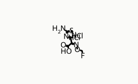 Cl.Cl.Nc1nc(C(=NOCF)C(=O)O)ns1